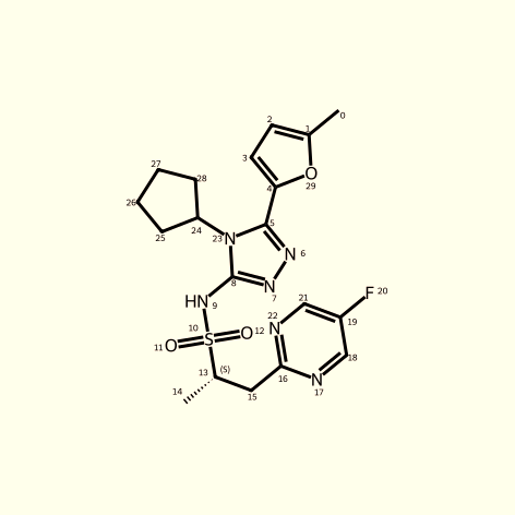 Cc1ccc(-c2nnc(NS(=O)(=O)[C@@H](C)Cc3ncc(F)cn3)n2C2CCCC2)o1